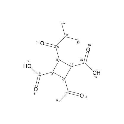 CC(=O)C1C(C(=O)O)C(C(=O)C(C)C)C1C(=O)O